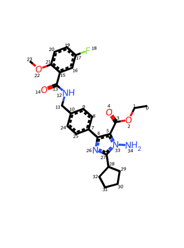 CCOC(=O)c1c(-c2ccc(CNC(=O)c3cc(F)ccc3OC)cc2)nc(C2CCCC2)n1N